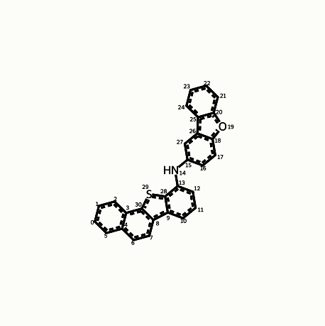 c1ccc2c(c1)ccc1c3cccc(Nc4ccc5oc6ccccc6c5c4)c3sc21